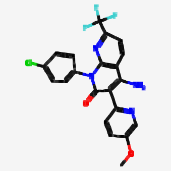 COc1ccc(-c2c(N)c3ccc(C(F)(F)F)nc3n(-c3ccc(Cl)cc3)c2=O)nc1